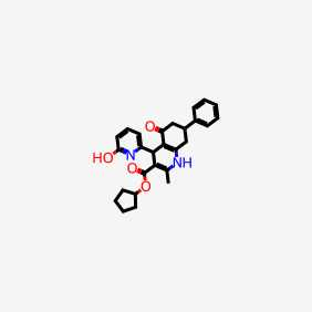 CC1=C(C(=O)OC2CCCC2)C(c2cccc(O)n2)C2=C(CC(c3ccccc3)CC2=O)N1